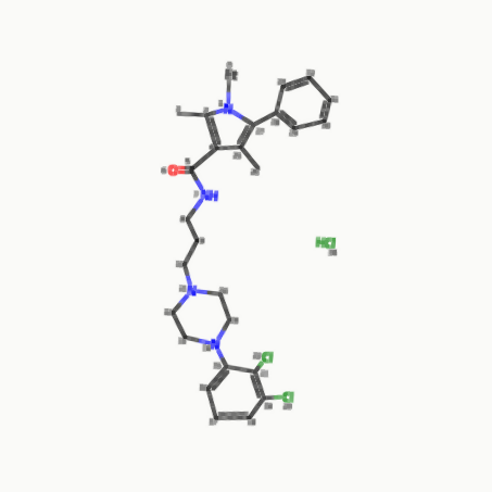 CCn1c(C)c(C(=O)NCCCN2CCN(c3cccc(Cl)c3Cl)CC2)c(C)c1-c1ccccc1.Cl